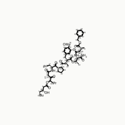 CC[C@H](C)C[C@@H](O)CC(=O)OC(C(=O)[C@H](C)C(=O)N[C@@H](CC(C)C)C(=O)N1CCC[C@H]1C(=O)N(C)[C@@H](Cc1ccc(OC)cc1)C(=O)O[C@H](C)[C@H](NC(=O)[C@@H](C)N(C)C(=O)OCc1ccccc1)C(N)=O)C(C)C